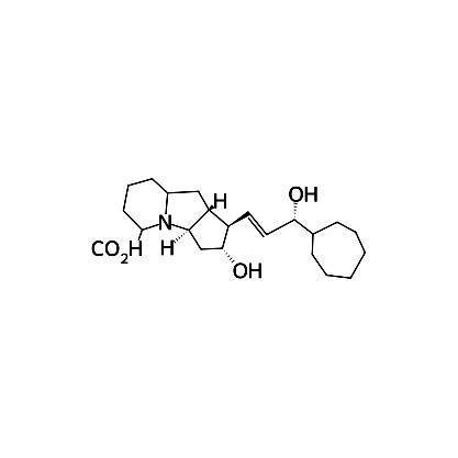 O=C(O)C1CCCC2C[C@@H]3[C@@H](/C=C/[C@H](O)C4CCCCCC4)[C@H](O)C[C@H]3N21